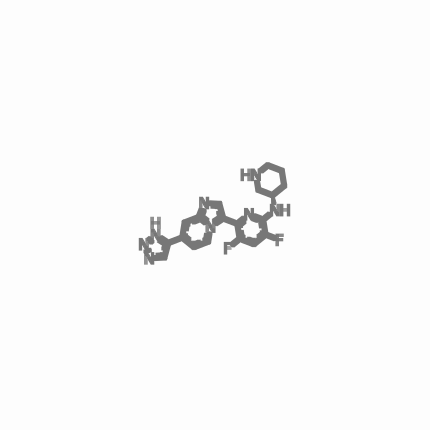 Fc1cc(F)c(-c2cnc3cc(-c4cnn[nH]4)ccn23)nc1N[C@@H]1CCCNC1